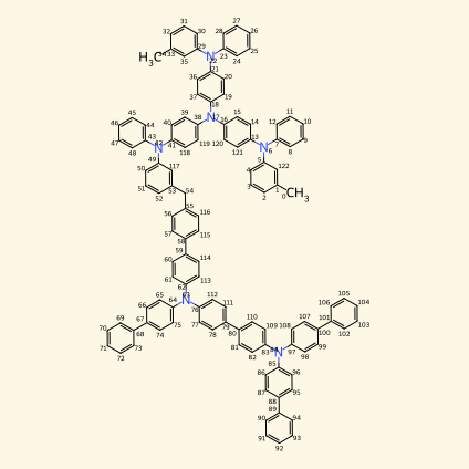 Cc1cccc(N(c2ccccc2)c2ccc(N(c3ccc(N(c4ccccc4)c4cccc(C)c4)cc3)c3ccc(N(c4ccccc4)c4cccc(Cc5ccc(-c6ccc(N(c7ccc(-c8ccccc8)cc7)c7ccc(-c8ccc(N(c9ccc(-c%10ccccc%10)cc9)c9ccc(-c%10ccccc%10)cc9)cc8)cc7)cc6)cc5)c4)cc3)cc2)c1